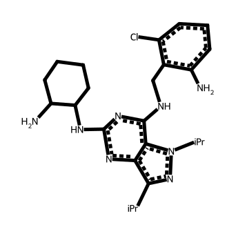 CC(C)c1nn(C(C)C)c2c(NCc3c(N)cccc3Cl)nc(NC3CCCCC3N)nc12